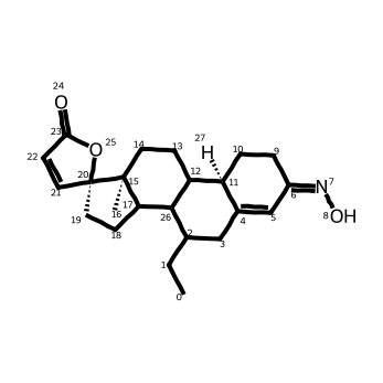 CCC1CC2=CC(=NO)CC[C@@H]2C2CC[C@@]3(C)C(CC[C@@]34C=CC(=O)O4)C12